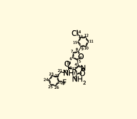 Nc1onc(-c2ccc(-c3cccc(Cl)c3)o2)c1C(=O)NCc1ccccc1F